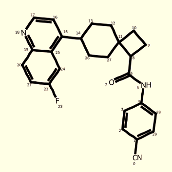 N#Cc1ccc(NC(=O)C2CCC23CCC(c2ccnc4ccc(F)cc24)CC3)cc1